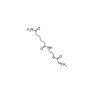 C=CC(=O)OCCNC(=O)CCCCC(N)=O